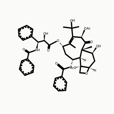 CC(=O)O[C@H]1C(=O)[C@@]2(C)[C@H]([C@H](OC(=O)c3ccccc3)C[C@H](OC(=O)[C@H](O)[C@@H](NC(=O)c3ccccc3)c3ccccc3)/C(C)=C/1C(C)(C)O)[C@]1(OC(C)=O)CO[C@@H]1C[C@@H]2O